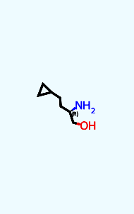 N[C@@H](CO)CCC1CC1